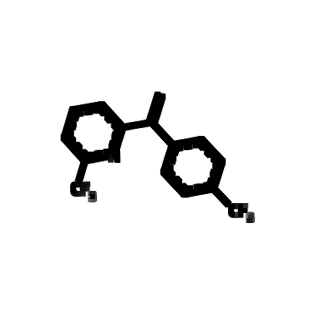 C=C(c1ccc(C(F)(F)F)cc1)c1cccc(C(F)(F)F)n1